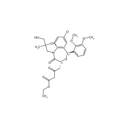 CCOC(=O)CC(=O)C[C@H]1O[C@H](c2cccc(OC)c2OC)c2cc(Cl)ccc2N(CC(C)(C)CO)C1=O